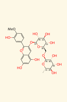 COc1ccc(-c2[o+]c3cc(O)cc(O)c3cc2O[C@@H]2O[C@H](CO[C@@H]3O[C@@H](C)[C@H](O)[C@@H](O)[C@H]3O)[C@@H](O)[C@H](O)[C@H]2O)cc1O